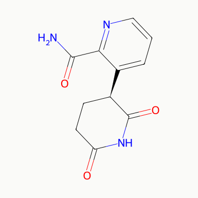 NC(=O)c1ncccc1[C@@H]1CCC(=O)NC1=O